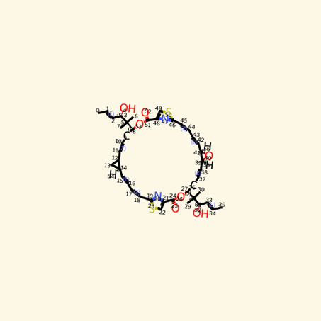 C/C=C/[C@H](O)C(C)(C)[C@@H]1C/C=C\C2C[C@@H]2/C=C/C=C\c2nc(cs2)C(=O)O[C@H](C(C)(C)[C@@H](O)/C=C/C)C/C=C\[C@H]2O[C@H]2/C=C/C=C\c2nc(cs2)C(=O)O1